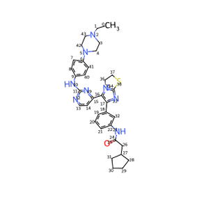 CCN1CCN(c2ccc(Nc3nccc(-c4c(-c5cccc(NC(=O)CC6CCCC6)c5)nc5n4CCS5)n3)cc2)CC1